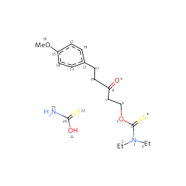 CCN(CC)C(=S)OCCC(=O)CCc1ccc(OC)cc1.NC(O)=S